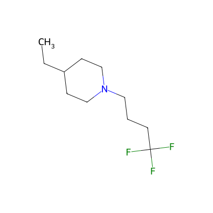 CCC1CCN(CCCC(F)(F)F)CC1